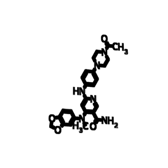 CC(=O)N1CCN(c2ccc(Nc3cc(N(C)c4ccc5c(c4)OCO5)c(C(N)=O)cn3)cc2)CC1